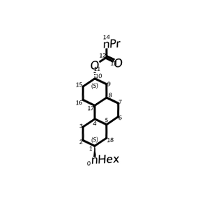 CCCCCC[C@H]1CCC2C(CCC3C[C@@H](OC(=O)CCC)CCC32)C1